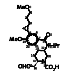 COCCCOc1cc(C(=O)N(C(C)C)[C@@H]2CC[C@@H](CC=O)N(C(=O)O)C2)ccc1OC